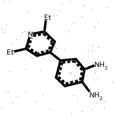 CCc1cc(-c2ccc(N)c(N)c2)cc(CC)n1